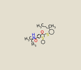 CCCC[C@@H](C)C1CCCCCC(SCC(CSC2CCCCC2)C(=O)c2ccc(C(=O)NC(C)C)cc2)C1